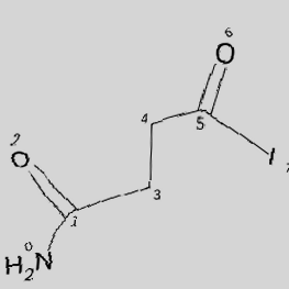 NC(=O)CCC(=O)I